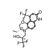 CC[C@@H]1COc2c(ccc3[nH]c(=O)cc(C(F)(F)F)c23)N1C[C@H](O)C(F)(F)F